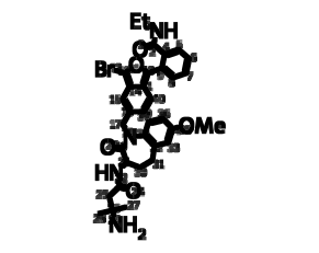 CCNC(=O)c1ccccc1-c1oc(Br)c2cc(CN3C(=O)C(NC(=O)CC(C)(C)N)CCc4cc(OC)ccc43)ccc12